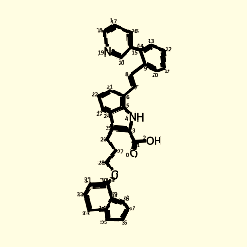 O=C(O)c1[nH]c2c(C=Cc3ccccc3-c3cccnc3)cccc2c1CCCOc1cccc2ccccc12